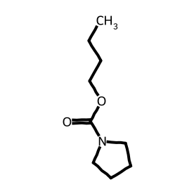 CCCCOC(=O)N1CCCC1